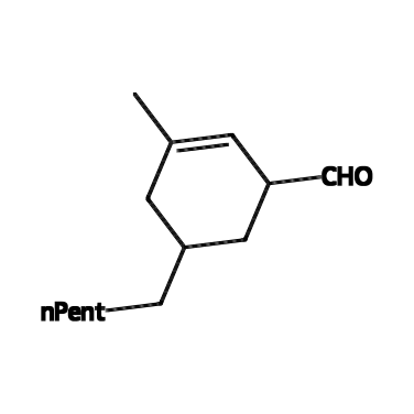 CCCCCCC1CC(C)=CC(C=O)C1